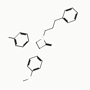 COc1ccc([C@H]2C(=O)N(CCCc3ccccc3)[C@H]2c2ccc(F)cc2)cc1